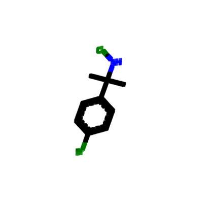 CC(C)(NCl)c1ccc(Br)cc1